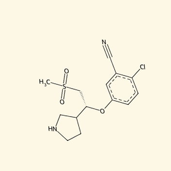 CS(=O)(=O)C[C@H](Oc1ccc(Cl)c(C#N)c1)C1CCNC1